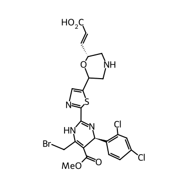 COC(=O)C1=C(CBr)NC(c2ncc(C3CNC[C@@H](/C=C/C(=O)O)O3)s2)=N[C@H]1c1ccc(Cl)cc1Cl